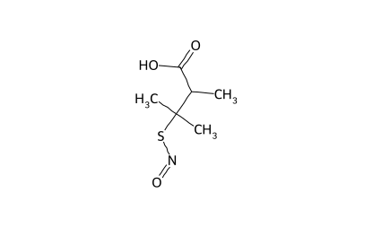 CC(C(=O)O)C(C)(C)SN=O